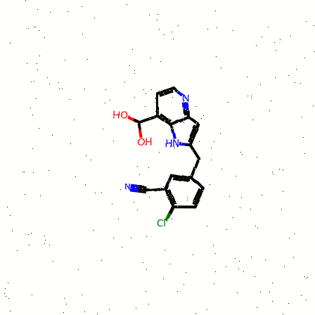 N#Cc1cc(Cc2cc3nccc(C(O)O)c3[nH]2)ccc1Cl